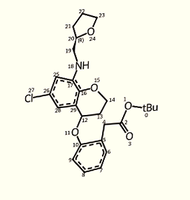 CC(C)(C)OC(=O)Cc1ccccc1OC1CCOc2c(NC[C@H]3CCCO3)cc(Cl)cc21